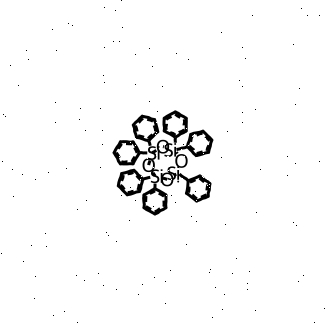 c1ccc([Si]2O[Si](c3ccccc3)(c3ccccc3)O[Si](c3ccccc3)(c3ccccc3)O[Si](c3ccccc3)(c3ccccc3)O2)cc1